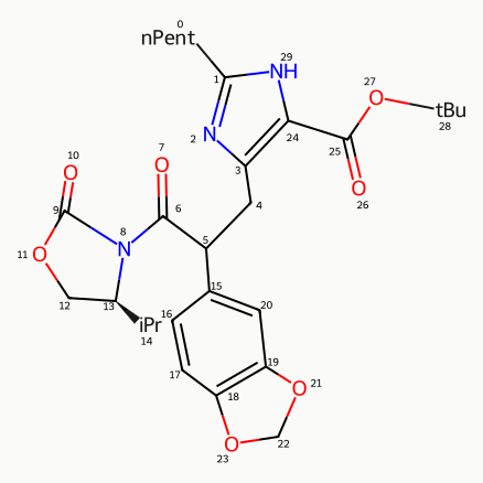 CCCCCc1nc(CC(C(=O)N2C(=O)OC[C@@H]2C(C)C)c2ccc3c(c2)OCO3)c(C(=O)OC(C)(C)C)[nH]1